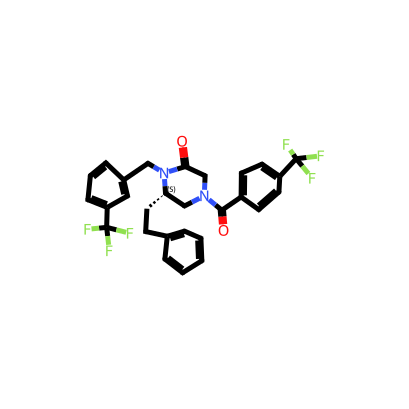 O=C(c1ccc(C(F)(F)F)cc1)N1CC(=O)N(Cc2cccc(C(F)(F)F)c2)[C@@H](CCc2ccccc2)C1